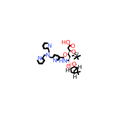 CC1(C)[C@@H]2C[C@H]3OB([C@H](CC[C@@H](CC(=O)O)O[Si](C)(C)C(C)(C)C)NC(=O)c4ccc(CN(Cc5ccccn5)Cc5ccccn5)nc4)O[C@@]3(C)[C@H]1C2